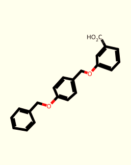 O=C(O)c1cccc(OCc2ccc(OCc3ccccc3)cc2)c1